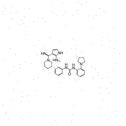 CNc1[nH]ccc1C(=N)N1CCC[C@@H](c2cccc(NC(=O)Nc3ccccc3N3CCCC3)c2)C1